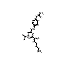 CC(C)NCC(COc1ccc(CC(N)=O)cc1)OC(=O)[C@@H](N)CCCCN